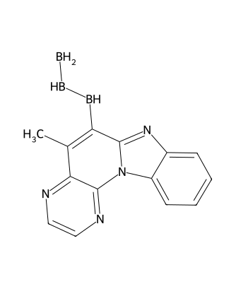 BBBc1c(C)c2nccnc2n2c1nc1ccccc12